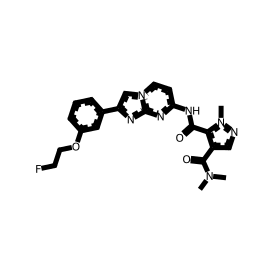 CN(C)C(=O)c1cnn(C)c1C(=O)Nc1ccn2cc(-c3cccc(OCCF)c3)nc2n1